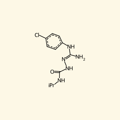 CC(C)NC(=O)NN=C(N)Nc1ccc(Cl)cc1